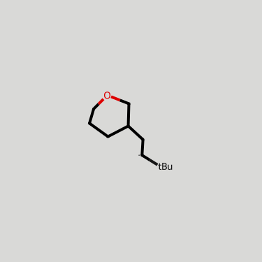 CC(C)(C)[CH]CC1CCCOC1